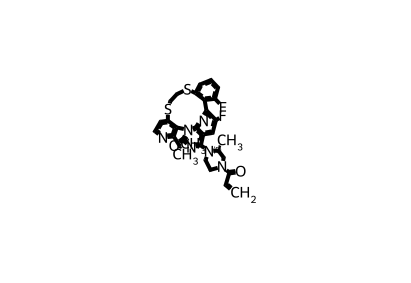 C=CC(=O)N1CCN(c2nc(=O)n3c4nc(c(F)cc24)-c2c(F)cccc2SCCSc2ccnc(C(C)C)c2-3)[C@@H](C)C1